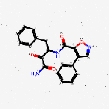 NC(=O)C(=O)C(Cc1ccccc1)NC(=O)c1oncc1-c1ccccc1